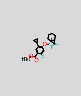 CC(C)(C)OC(=O)c1cc(C2CC2)c(OC[C@]23CCCC[C@H]2C3(F)F)cc1F